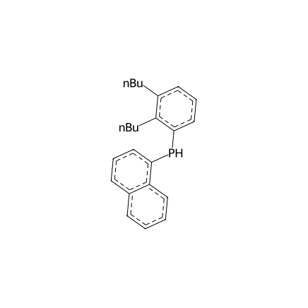 CCCCc1cccc(Pc2cccc3ccccc23)c1CCCC